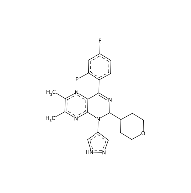 Cc1nc2c(nc1C)N(c1cn[nH]c1)C(C1CCOCC1)N=C2c1ccc(F)cc1F